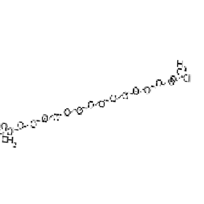 C=C(C)COOCCOCCOCCOCCOCCOCCOCCOCCOCCOCCOCCOCCOCCOCCOC(=O)C(=C)C